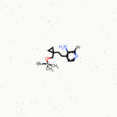 CC(C)c1nccc(CCC2(CO[Si](C)(C)C(C)(C)C)CC2)c1N